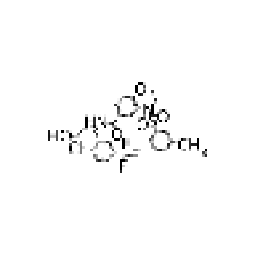 Cc1cccc(S(=O)(=O)N2CCOc3ccc(C(=O)N[C@@H](CCO)c4cc(C(F)(F)F)ccc4Cl)cc32)c1